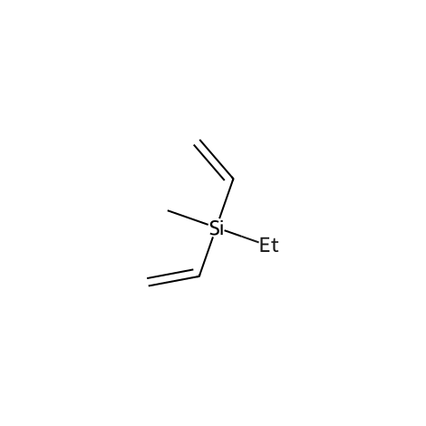 C=C[Si](C)(C=C)CC